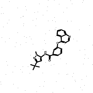 Cn1nc(C(C)(C)C)cc1NC(=O)c1cccc(Oc2ccnc3ccccc23)c1